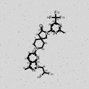 Cc1nc(N2CC3(CCN(c4ccc5c(C)nn(CC(F)F)c5n4)CC3)CC2=O)cc(C(F)(F)F)n1